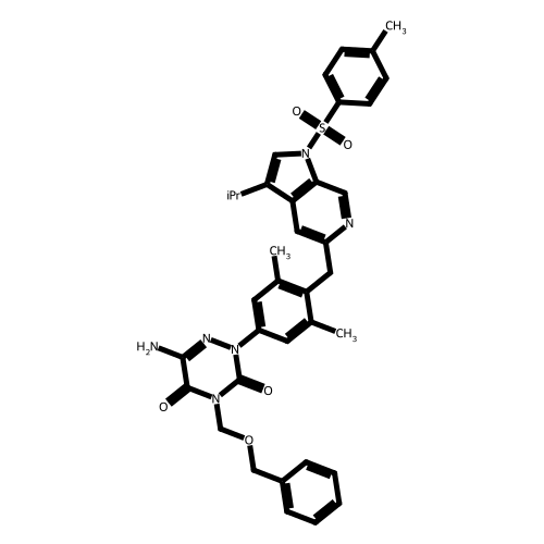 Cc1ccc(S(=O)(=O)n2cc(C(C)C)c3cc(Cc4c(C)cc(-n5nc(N)c(=O)n(COCc6ccccc6)c5=O)cc4C)ncc32)cc1